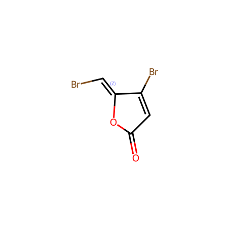 O=C1C=C(Br)/C(=C/Br)O1